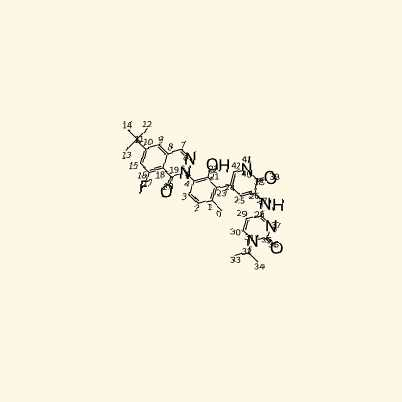 Cc1ccc(-n2ncc3cc(C(C)(C)C)cc(F)c3c2=O)c(O)c1-c1cc(Nc2ccn(C(C)C)c(=O)n2)c(=O)n(C)c1